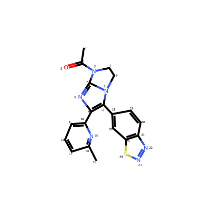 CC(=O)N1CCn2c1nc(-c1cccc(C)n1)c2-c1ccc2nnsc2c1